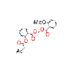 COc1ccccc1C(=O)OCOC(=O)c1ccccc1OC(=O)CC(C)=O